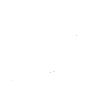 COc1ccc2nccc([C@@H](O)[C@H](O)[C@H]3CC[C@H](NCc4ccc5c(n4)NC(=O)CS5)CC3)c2c1